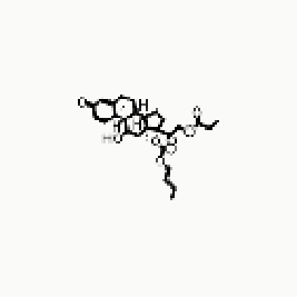 CCCCOC(=O)O[C@]1(C(=O)COC(=O)CC)CC[C@H]2[C@@H]3CCC4=CC(=O)C=C[C@]4(C)[C@H]3C(O)C[C@@]21C